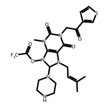 CC(C)=CCN1c2c(n(C)c(=O)n(CC(=O)c3ccsc3)c2=O)N(OC(=O)C(F)(F)F)C1N1CCNCC1